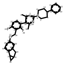 Cc1nc(N2CCC(c3ccccc3)CC2)nc(C)c1-c1ccc(F)c(COc2ccc3c(c2)CC2CC32)c1F